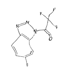 O=C(n1nnc2ccc(F)cc21)C(F)(F)F